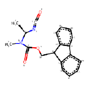 C[C@@H](N=C=O)N(C)C(=O)OCC1c2ccccc2-c2ccccc21